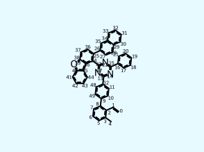 C=Cc1c(C)cccc1-c1ccc(-c2nc(-c3ccccc3)nc(-c3c(-c4ccc5ccccc5c4)ccc4oc5ccccc5c34)n2)cc1